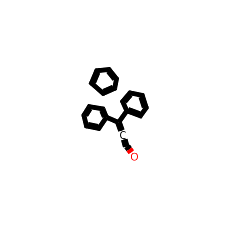 O=C=C=C(c1ccccc1)c1ccccc1.c1ccccc1